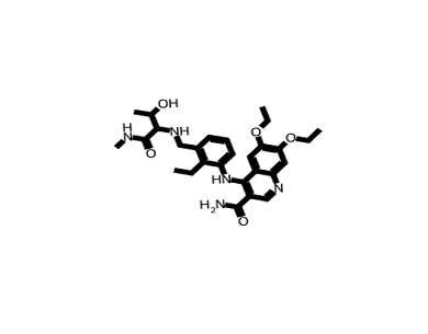 CCOc1cc2ncc(C(N)=O)c(Nc3cccc(CNC(C(=O)NC)C(C)O)c3CC)c2cc1OCC